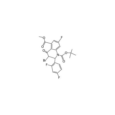 COC(=O)c1cc(F)cc2c1C(=O)C(Br)C(c1ccc(F)cc1F)N2C(=O)OC(C)(C)C